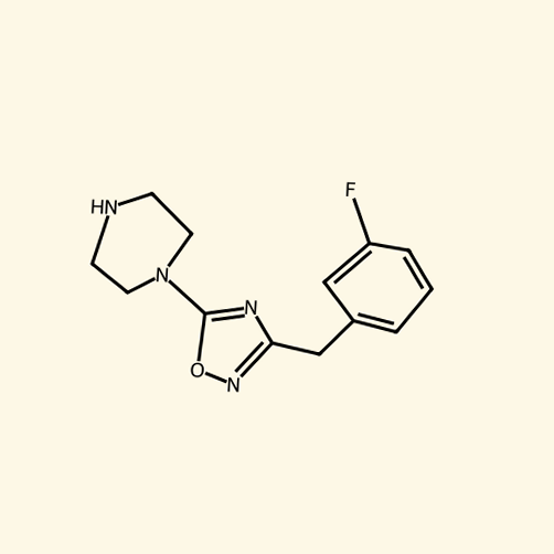 Fc1cccc(Cc2noc(N3CCNCC3)n2)c1